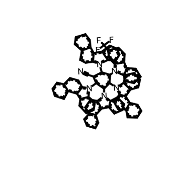 N#Cc1c(-n2c3ccccc3c3c4ccccc4ccc32)c(-n2c3ccccc3c3ccc(C(F)(F)F)cc32)c(-n2c3ccccc3c3c4ccccc4ccc32)c(-n2c3ccccc3c3c4ccccc4ccc32)c1-n1c2ccccc2c2c3ccccc3ccc21